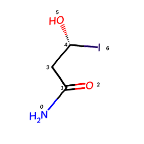 NC(=O)C[C@H](O)I